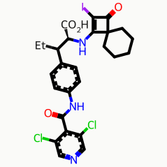 CCC(c1ccc(NC(=O)c2c(Cl)cncc2Cl)cc1)[C@H](NC1=C(I)C(=O)C12CCCCC2)C(=O)O